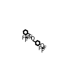 FC(F)(F)Oc1ccc(CON=[C]c2ccccc2C(F)(F)F)cc1